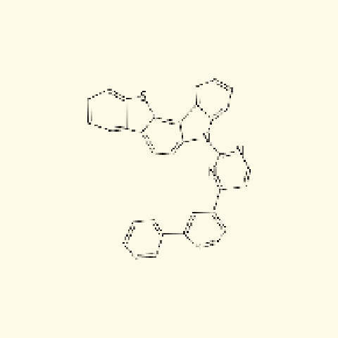 c1ccc(-c2cccc(-c3ccnc(-n4c5ccccc5c5c6sc7ccccc7c6ccc54)n3)c2)cc1